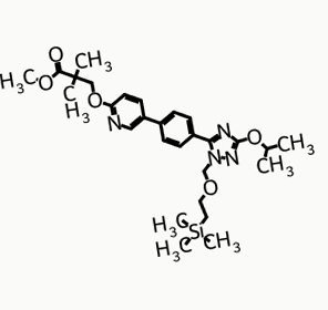 COC(=O)C(C)(C)COc1ccc(-c2ccc(-c3nc(OC(C)C)nn3COCC[Si](C)(C)C)cc2)cn1